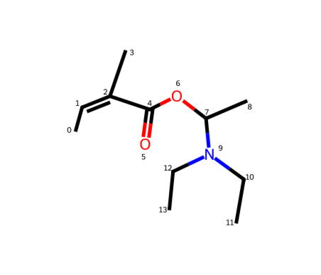 CC=C(C)C(=O)OC(C)N(CC)CC